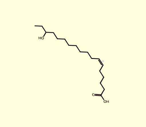 CCC(O)CCCCCCCC/C=C\CCCCC(=O)O